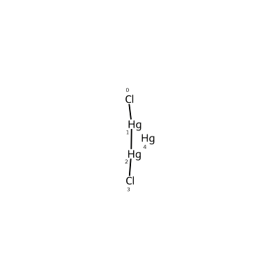 [Cl][Hg][Hg][Cl].[Hg]